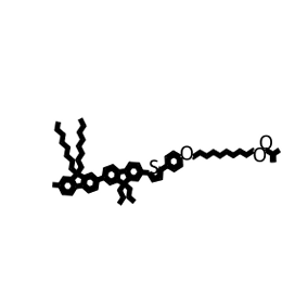 C=C(C)C(=O)OCCCCCCCCCCOc1ccc(-c2ccc(-c3ccc4c(c3)C(CCC)(CCC)c3cc(-c5ccc6c(c5)C(CCCCCCCC)(CCCCCCCC)c5cc(C)ccc5-6)ccc3-4)s2)cc1